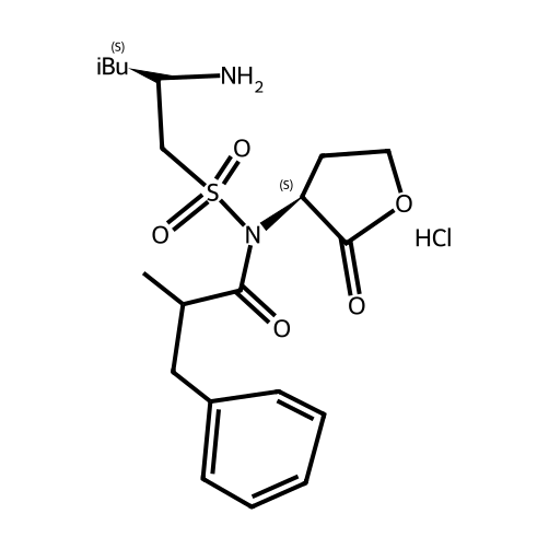 CC[C@H](C)C(N)CS(=O)(=O)N(C(=O)C(C)Cc1ccccc1)[C@H]1CCOC1=O.Cl